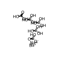 O=C(O)O.OB(O)O.OB(O)O.OB(O)O.[Na+].[Na+].[O-]B([O-])O